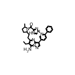 CCc1c(CCC2CCC(C)N2C(=O)c2nnc[nH]2)nc2c(-c3ccc(-c4ccccc4)nc3)cnn2c1N